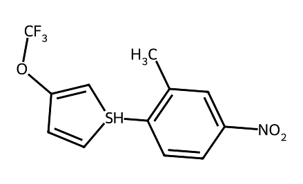 Cc1cc([N+](=O)[O-])ccc1[SH]1C=CC(OC(F)(F)F)=C1